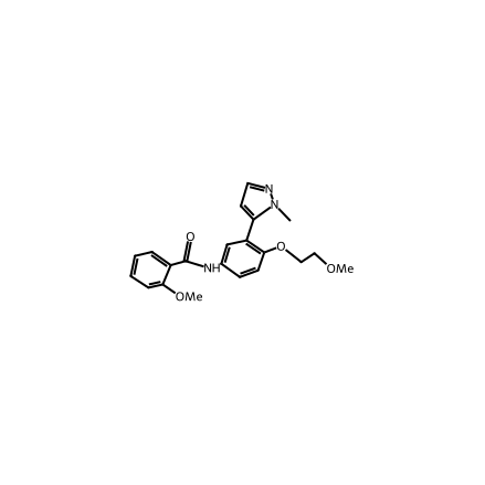 COCCOc1ccc(NC(=O)c2ccccc2OC)cc1-c1ccnn1C